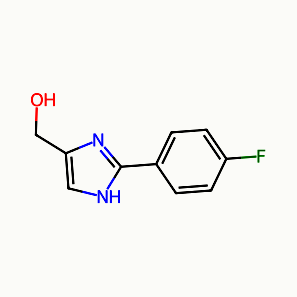 OCc1c[nH]c(-c2ccc(F)cc2)n1